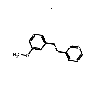 COc1[c]ccc(CCc2cccnc2)c1